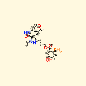 CCn1nc(CCCOC(=O)c2cc(O)ccc2P)c2c1C(=O)NCC1(CCOCC1)C2